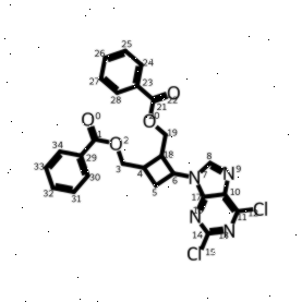 O=C(OCC1CC(n2cnc3c(Cl)nc(Cl)nc32)C1COC(=O)c1ccccc1)c1ccccc1